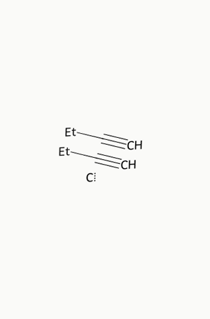 C#CCC.C#CCC.[C]